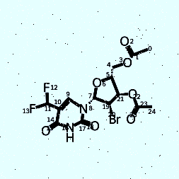 CC(=O)OC[C@H]1O[C@@H](n2cc(C(F)F)c(=O)[nH]c2=O)[C@H](Br)[C@@H]1OC(C)=O